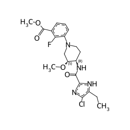 CCc1[nH]c(C(=O)N[C@@H]2CCN(c3cccc(C(=O)OC)c3F)C[C@@H]2OC)nc1Cl